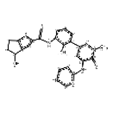 Cc1c(NC(=O)c2cc3c(s2)CCC3O)cccc1-c1cc(Nc2ccncn2)c(=O)n(C)n1